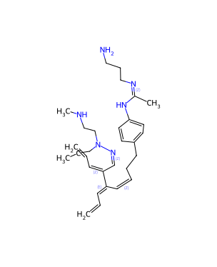 C=C/C=C(\C=N/N(CCC)CCNC)C(/C=C\CCc1ccc(N/C(C)=N\CCCN)cc1)=C/C=C